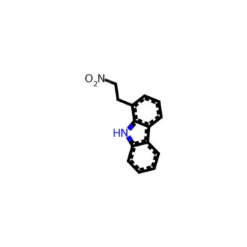 O=[N+]([O-])CCc1cccc2c1[nH]c1ccccc12